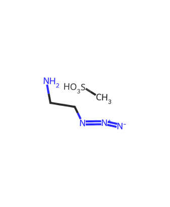 CS(=O)(=O)O.[N-]=[N+]=NCCN